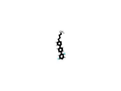 CCCCCc1ccc(-c2ccc(-c3cc(F)ccc3F)cc2)cc1